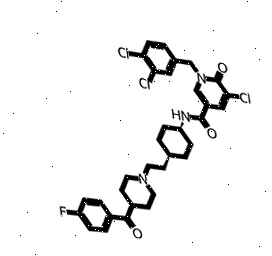 O=C(N[C@H]1CC[C@H](CCN2CCC(C(=O)c3ccc(F)cc3)CC2)CC1)c1cc(Cl)c(=O)n(Cc2ccc(Cl)c(Cl)c2)c1